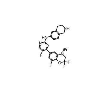 CC(C)N1CC(F)(F)Oc2c(F)cc(-c3nc(Nc4ccc5c(c4)CCNC5)ncc3F)cc21